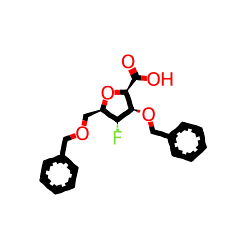 O=C(O)[C@@H]1O[C@H](COCc2ccccc2)[C@@H](F)[C@H]1OCc1ccccc1